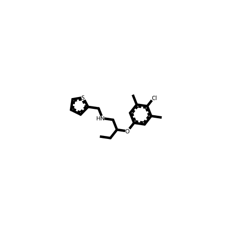 CCC(CNCc1cccs1)Oc1cc(C)c(Cl)c(C)c1